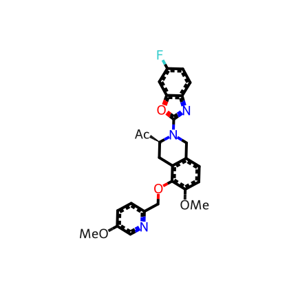 COc1ccc(COc2c(OC)ccc3c2C[C@@H](C(C)=O)N(c2nc4ccc(F)cc4o2)C3)nc1